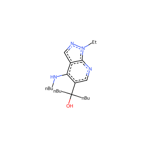 CCCCNc1c(C(O)(CCCC)CCCC)cnc2c1cnn2CC